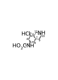 Cl.O=C(O)Nc1ccc2c(c1)C=CNC2